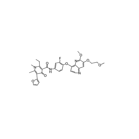 CCc1c(C(=O)Nc2ccc(Oc3ccnc4cc(OCCOC)c(OC)nc34)c(F)c2)c(=O)c(-c2ccco2)c(C)n1C